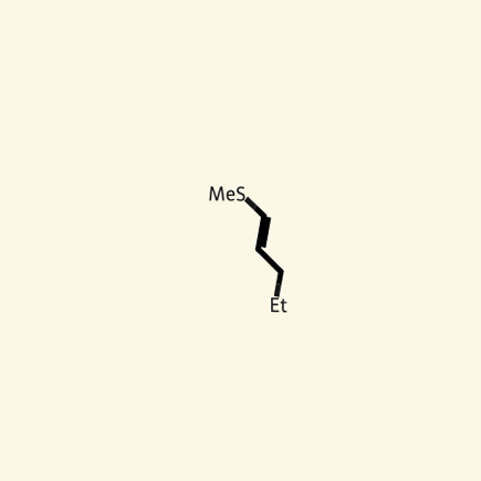 [CH2]CC/C=C/SC